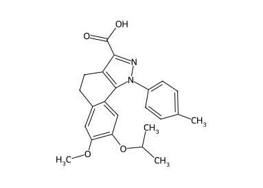 COc1cc2c(cc1OC(C)C)-c1c(c(C(=O)O)nn1-c1ccc(C)cc1)CC2